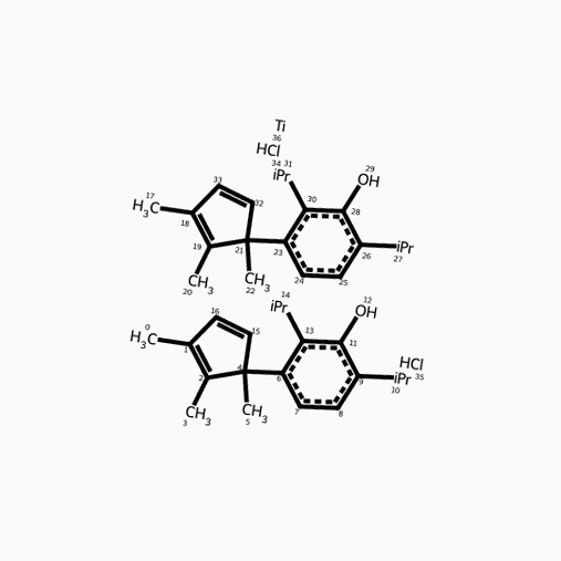 CC1=C(C)C(C)(c2ccc(C(C)C)c(O)c2C(C)C)C=C1.CC1=C(C)C(C)(c2ccc(C(C)C)c(O)c2C(C)C)C=C1.Cl.Cl.[Ti]